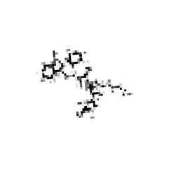 CC(=O)CCCCC[C@H](NC(=O)c1c[nH]c(=O)[nH]1)C(=O)NCCc1c(-c2ccccc2)[nH]c2ccccc12